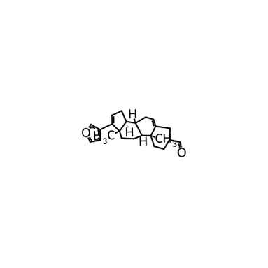 C[C@]12CCC(C=O)CC1=CC[C@@H]1[C@@H]2CC[C@]2(C)C(c3ccoc3)=CC[C@@H]12